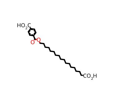 O=C(O)CCCCCCCCCCCCCCCCCOC(=O)c1ccc(C(=O)O)cc1